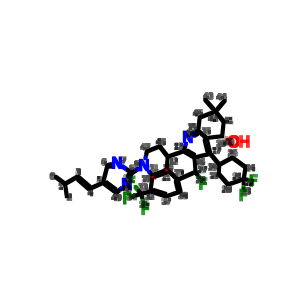 CC(C)/C=C/c1cnc(N2CCC(c3nc4c(c(C5CCC(F)(F)CC5)c3C(F)c3ccc(C(F)(F)F)cc3)[C@@H](O)CC(C)(C)C4)CC2)nc1